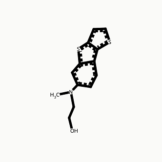 CN(CCO)c1ccc2c(c1)sc1ccsc12